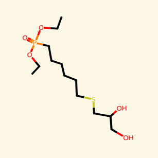 CCOP(=O)(CCCCCCSCC(O)CO)OCC